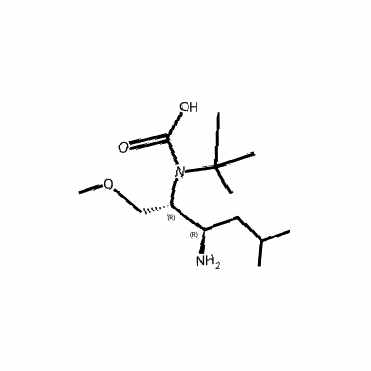 COC[C@@H]([C@H](N)CC(C)C)N(C(=O)O)C(C)(C)C